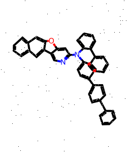 c1ccc(-c2ccc(-c3ccc(N(c4cc5oc6cc7ccccc7cc6c5cn4)c4ccccc4-c4ccccc4)cc3)cc2)cc1